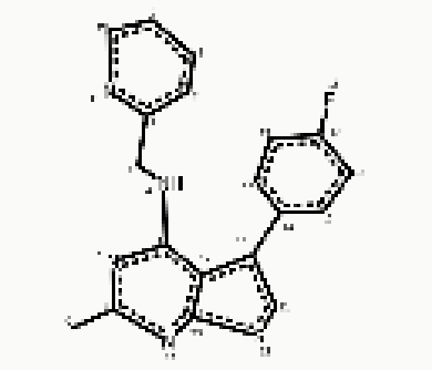 Cc1nc(NCc2ccccn2)c2c(-c3ccc(F)cc3)csc2n1